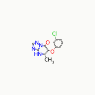 Cc1[nH]c2ncnn2c(=O)c1Oc1cccc(Cl)c1